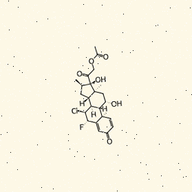 CC(=O)OCC(=O)[C@@]1(O)[C@H](C)C[C@H]2[C@@H]3[C@H](Cl)[C@@H](F)C4=CC(=O)C=C[C@]4(C)[C@H]3[C@@H](O)C[C@@]21C